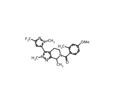 COc1ccc(C(=O)N2CCc3c(nn(C)c3-c3cc(C(F)(F)F)nn3C)C2C)c(C)c1